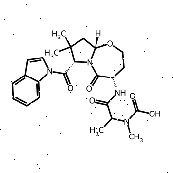 CC(C(=O)N[C@H]1CCO[C@H]2CC(C)(C)[C@@H](C(=O)n3ccc4ccccc43)N2C1=O)N(C)C(=O)O